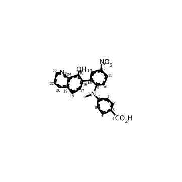 CN(c1ccc(C(=O)O)cc1)c1ccc([N+](=O)[O-])cc1-c1ccc2cccnc2c1O